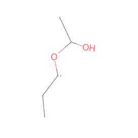 CC[CH]OC(C)O